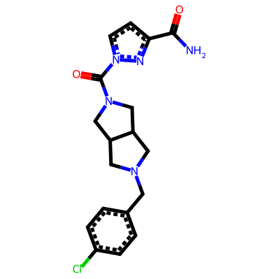 NC(=O)c1ccn(C(=O)N2CC3CN(Cc4ccc(Cl)cc4)CC3C2)n1